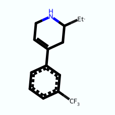 C[CH]C1CC(c2cccc(C(F)(F)F)c2)=CCN1